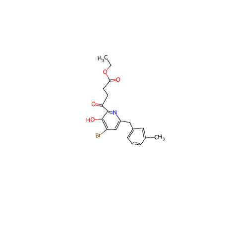 CCOC(=O)CCC(=O)c1nc(Cc2cccc(C)c2)cc(Br)c1O